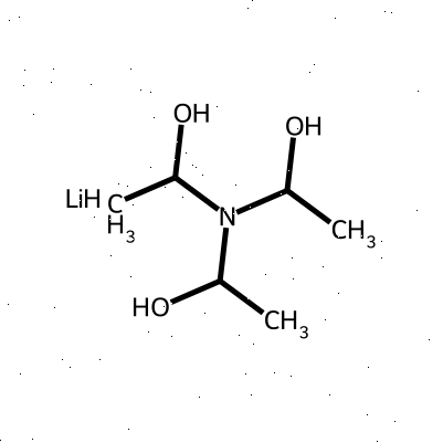 CC(O)N(C(C)O)C(C)O.[LiH]